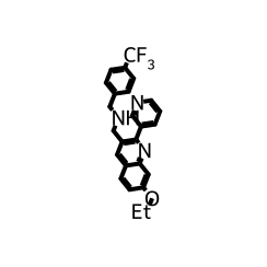 CCOc1ccc2cc(CNCc3ccc(C(F)(F)F)cc3)c(-c3cccnc3)nc2c1